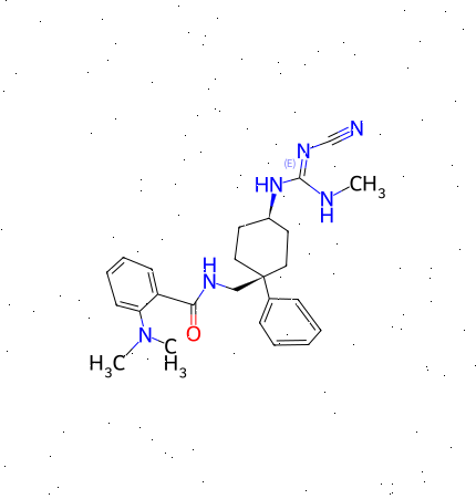 CN/C(=N\C#N)N[C@H]1CC[C@](CNC(=O)c2ccccc2N(C)C)(c2ccccc2)CC1